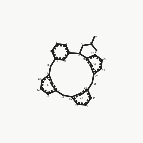 CC(C)CC1c2cccc(c2)Cc2cccc(c2)Cc2cccc(c2)Cc2cccc1c2